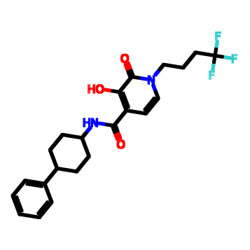 O=C(NC1CCC(c2ccccc2)CC1)c1ccn(CCCC(F)(F)F)c(=O)c1O